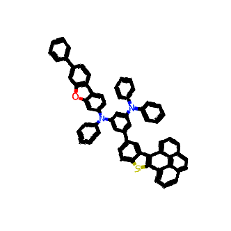 c1ccc(-c2ccc3c(c2)oc2cc(N(c4ccccc4)c4cc(-c5ccc6sc7c8cccc9ccc%10cccc(c7c6c5)c%10c98)cc(N(c5ccccc5)c5ccccc5)c4)ccc23)cc1